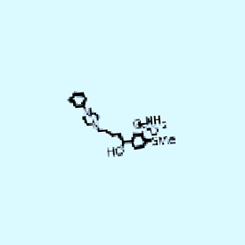 CSc1ccc(C(O)CCCCN2CCN(c3ccccc3)CC2)cc1S(N)(=O)=O